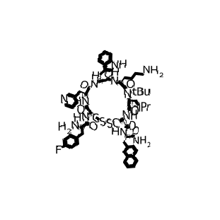 CC(C)C[C@H]1C(=O)N[C@H](C(=O)N[C@@H](Cc2ccc3ccccc3c2)C(N)=O)CSSC[C@@H](NC(=O)[C@@H](N)Cc2ccc(F)cc2)C(=O)N[C@@H](Cc2cccnc2)C(=O)N[C@H](Cc2c[nH]c3ccccc23)C(=O)N[C@@H](CCCCN)C(=O)N1C(C)(C)C